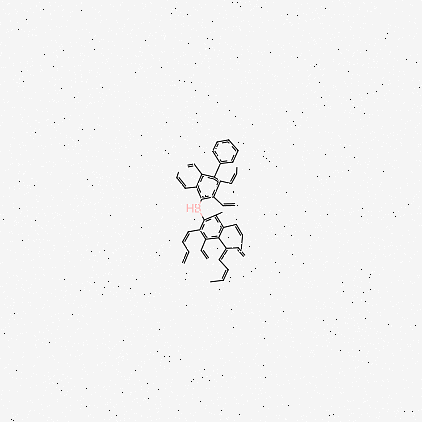 C=C/C=C\c1c(Bc2c(C=C)c(/C=C\C)c(-c3ccccc3)c(C=C)c2/C=C\C)c(C)c(/C=C\C)c(/C(C=C)=C/C=C\C)c1C=C